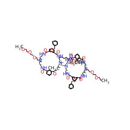 CCCOCCOCCN1CCNC(=O)c2cccc(c2C)C(=O)NCCN(CCN2CCCC(=O)c3cccc(c3C)C(=O)NCCN(CCOCCOCCOC)CCNC(=O)c3cccc(c3OCc3ccccc3)C(=O)NC(CCCCNC(=O)OC(C)(C)C)C2)CCNC(=O)c2cccc(c2OCc2ccccc2)C(=O)NCC1